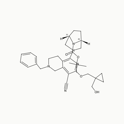 CC(C)(C)OC(=O)N1[C@@H]2CC[C@H]1CN(c1nc(OCC3(CO)CC3)c(C#N)c3c1CCN(Cc1ccccc1)C3)C2